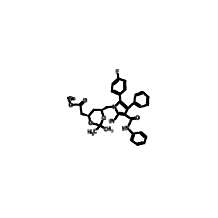 CC(C)c1c(C(=O)Nc2ccccc2)c(-c2ccccc2)c(-c2ccc(F)cc2)n1C[C@@H]1C[C@H](CC(=O)OC(C)(C)C)OC(C)(C)O1